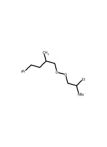 CCCCC(CC)COOCC(C)CCC(C)C